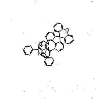 c1ccc(-c2nc(-c3ccccc3)nc(-c3cccc4c3-c3c(-c5cccc6cccnc56)cccc3C43c4ccccc4Oc4ccccc43)n2)cc1